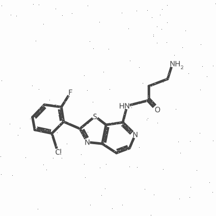 NCCC(=O)Nc1nccc2nc(-c3c(F)cccc3Cl)sc12